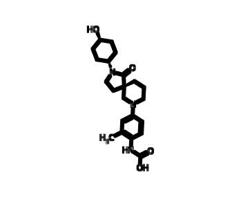 Cc1cc(N2CCC[C@]3(CCN([C@H]4CC[C@H](O)CC4)C3=O)C2)ccc1NC(=O)O